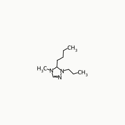 CCCCC1N(C)C=NN1CCC